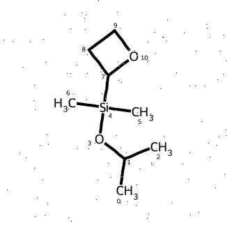 CC(C)O[Si](C)(C)C1CCO1